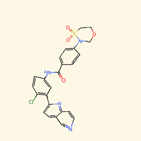 O=C(Nc1ccc(Cl)c(-c2ccc3cnccc3n2)c1)c1ccc(N2COCCS2(=O)=O)cc1